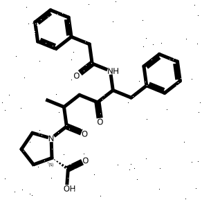 CC(CC(=O)C(Cc1ccccc1)NC(=O)Cc1ccccc1)C(=O)N1CCC[C@H]1C(=O)O